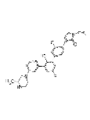 C[C@@H]1CN(c2cc(-c3cc(F)cc(-c4ccc(-n5ccn(C)c5=O)c(F)c4)c3O)ccn2)CCN1